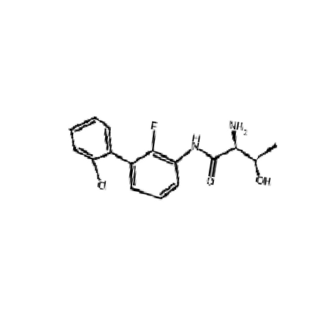 C[C@@H](O)[C@H](N)C(=O)Nc1cccc(-c2ccccc2Cl)c1F